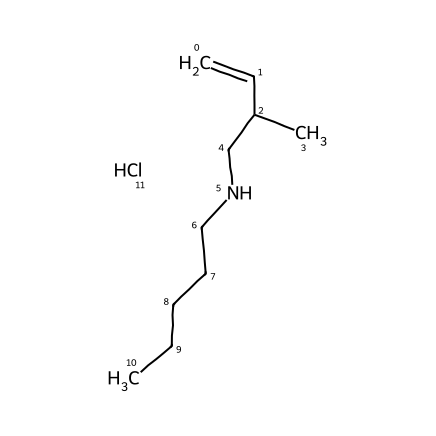 C=CC(C)CNCCCCC.Cl